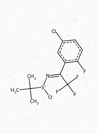 CC(C)(C)[S+]([O-])/N=C(/c1cc(Cl)ccc1F)C(F)(F)F